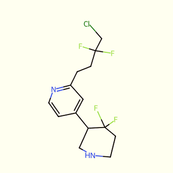 FC(F)(CCl)CCc1cc(C2CNCCC2(F)F)ccn1